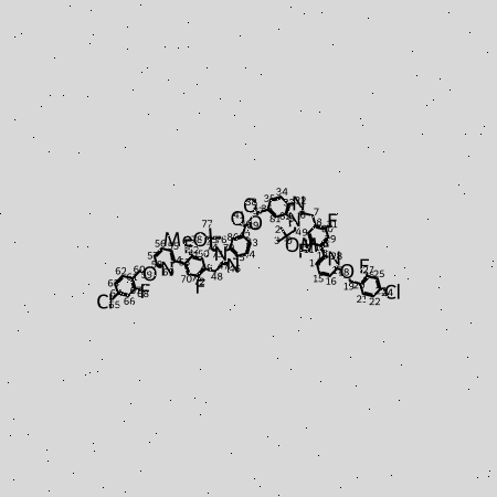 COC(C)(C)Cn1c(Cc2cc(F)c(-c3cccc(OCc4ccc(Cl)cc4F)n3)cc2F)nc2ccc(C(=O)OC(=O)c3ccc4nc(Cc5cc(F)c(-c6cccc(OCc7ccc(Cl)cc7F)n6)cc5F)n(CC(C)(C)OC)c4c3)cc21